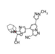 C#CC(=O)N1CC2CCC(C1)C2Nc1ccc(-c2cc(-c3cnn(C)c3)cn3ncc(C#N)c23)cn1